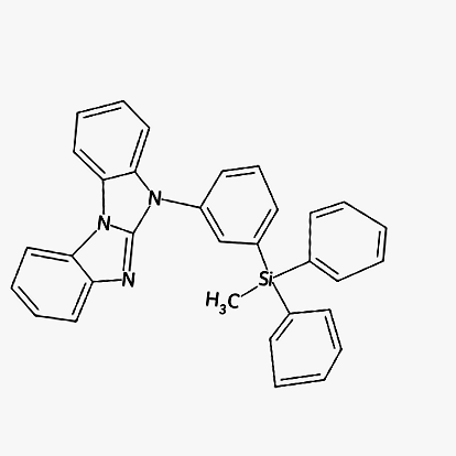 C[Si](c1ccccc1)(c1ccccc1)c1cccc(-n2c3ccccc3n3c4ccccc4nc23)c1